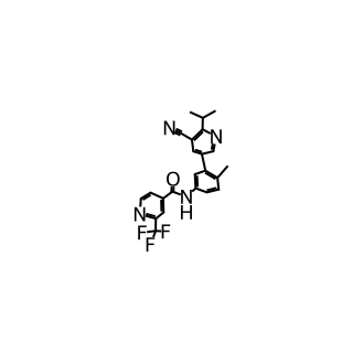 Cc1ccc(NC(=O)c2ccnc(C(F)(F)F)c2)cc1-c1cnc(C(C)C)c(C#N)c1